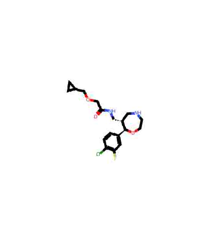 O=C(COCC1CC1)NC[C@@H]1CNCCO[C@H]1c1ccc(Cl)c(F)c1